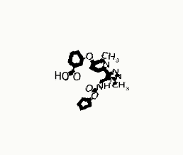 Cc1nc(-c2nnn(C)c2CNC(=O)OC2CCCC2)ccc1O[C@H]1CCC[C@H](C(=O)O)C1